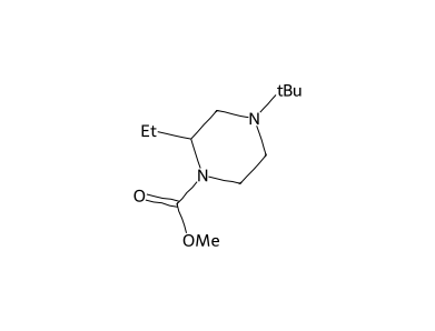 CCC1CN(C(C)(C)C)CCN1C(=O)OC